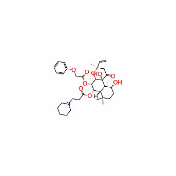 C=C[C@@]1(C)CC(=O)[C@]2(O)[C@@]3(C)[C@@H](O)CCC(C)(C)[C@@H]3[C@H](OC(=O)CCN3CCCCC3)[C@H](OC(=O)COc3ccccc3)[C@@]2(C)O1